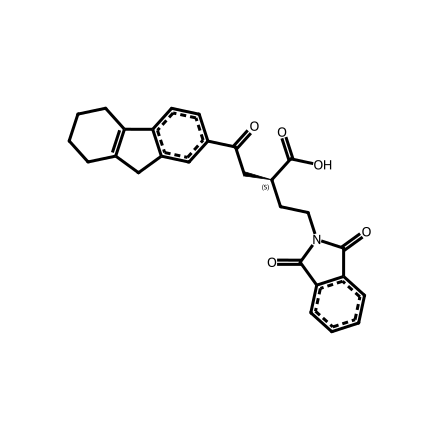 O=C(C[C@H](CCN1C(=O)c2ccccc2C1=O)C(=O)O)c1ccc2c(c1)CC1=C2CCCC1